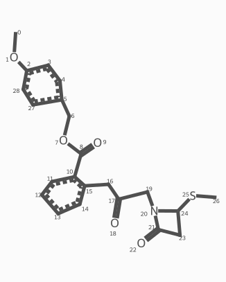 COc1ccc(COC(=O)c2ccccc2CC(=O)CN2C(=O)CC2SC)cc1